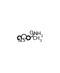 CC(C(N)=O)c1ccc2c(c1)CCc1cccnc1S2